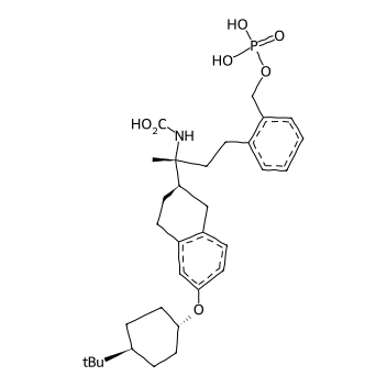 CC(C)(C)[C@H]1CC[C@H](Oc2ccc3c(c2)CC[C@@H]([C@@](C)(CCc2ccccc2COP(=O)(O)O)NC(=O)O)C3)CC1